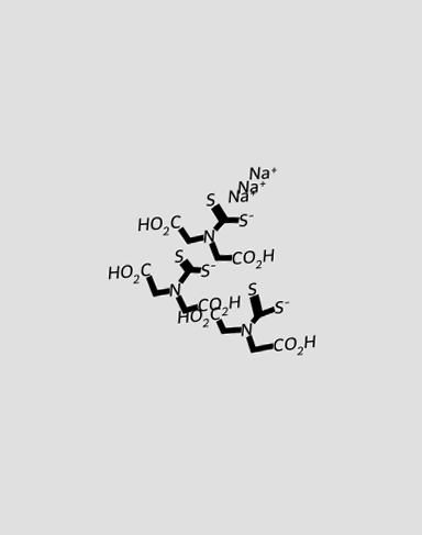 O=C(O)CN(CC(=O)O)C(=S)[S-].O=C(O)CN(CC(=O)O)C(=S)[S-].O=C(O)CN(CC(=O)O)C(=S)[S-].[Na+].[Na+].[Na+]